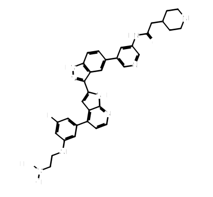 CN(C)CCNc1cc(F)cc(-c2ccnc3[nH]c(-c4n[nH]c5ccc(-c6cncc(NC(=O)CC7CCNCC7)c6)cc45)cc23)c1